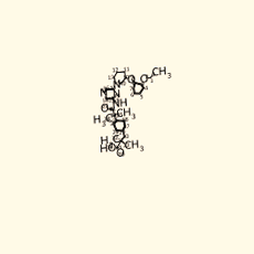 CCOc1ccccc1O[C@@H]1CCCN(c2cncc(NC(=O)C(C)(C)c3ccc(CC(C)(C)C(=O)O)cc3)n2)C1